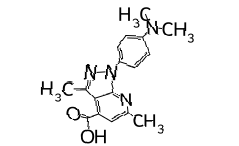 Cc1cc(C(=O)O)c2c(C)nn(-c3ccc(N(C)C)cc3)c2n1